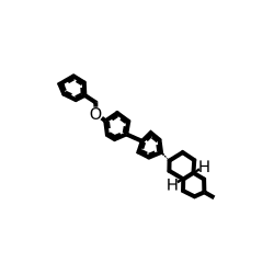 CC1CC[C@@H]2C[C@H](c3ccc(-c4ccc(OCc5ccccc5)cc4)cc3)CC[C@@H]2C1